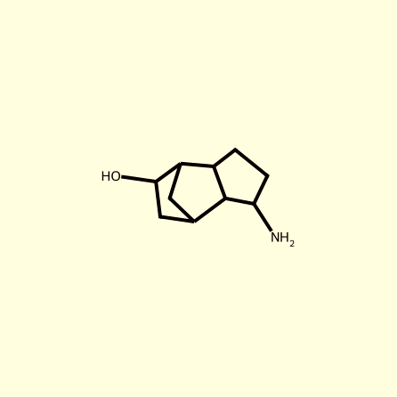 NC1CCC2C3CC(CC3O)C12